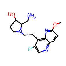 COc1ccc2ncc(F)c(CCN3CCC(O)C3CN)c2n1